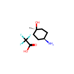 C[C@]1(O)CC[C@@H](N)CC1.O=C(O)C(F)(F)F